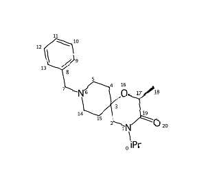 CC(C)N1CC2(CCN(Cc3ccccc3)CC2)O[C@@H](C)C1=O